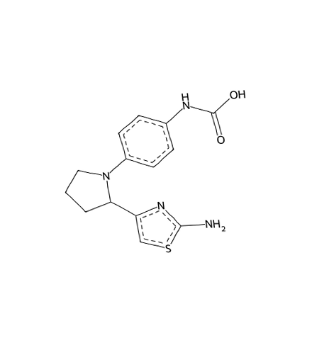 Nc1nc(C2CCCN2c2ccc(NC(=O)O)cc2)cs1